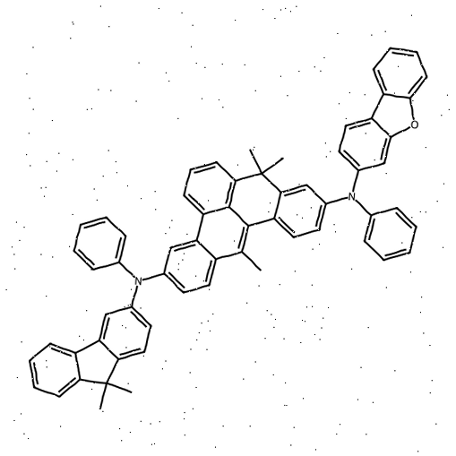 Cc1c2c3c(cccc3c3cc(N(c4ccccc4)c4ccc5c(c4)-c4ccccc4C5(C)C)ccc13)C(C)(C)c1cc(N(c3ccccc3)c3ccc4c(c3)oc3ccccc34)ccc1-2